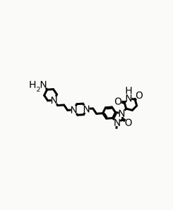 Cn1c(=O)n(C2CCC(=O)NC2=O)c2ccc(CCN3CCN(CCCN4CCC(N)CC4)CC3)cc21